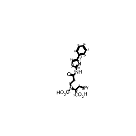 CC(C)CC(C(=O)O)N(CCC(=O)Nc1nc(-c2ccccc2)cs1)C(=O)O